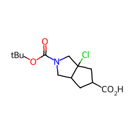 CC(C)(C)OC(=O)N1CC2CC(C(=O)O)CC2(Cl)C1